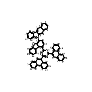 c1ccc2cc3c(cc2c1)c1ccccc1n3-c1ccc(-c2nc(-c3cc4ccccc4c4ccccc34)nc(-c3cc4ccccc4c4ccccc34)n2)c2c1oc1ccccc12